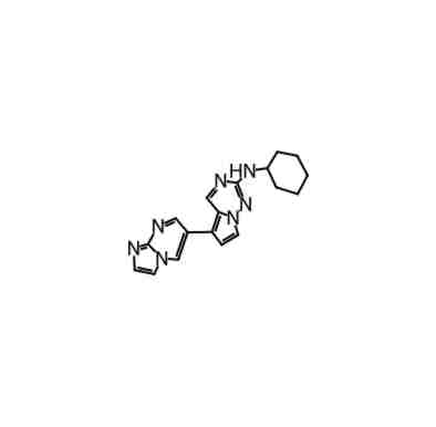 c1cn2cc(-c3ccn4nc(NC5CCCCC5)ncc34)cnc2n1